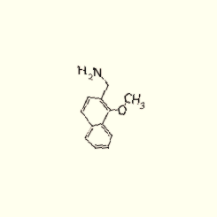 COc1c(CN)ccc2ccccc12